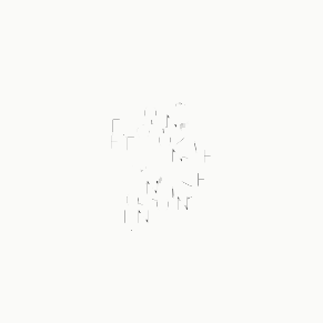 C[C@H]1CC[C@H](c2cncc(F)c2)N(C(=O)C(=O)OCC(F)(F)F)C1.C[C@H]1CC[C@H](c2cncc(F)c2)N(C(=O)C(N)=O)C1